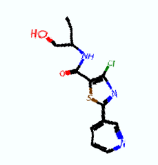 CCC(CO)NC(=O)c1sc(-c2cccnc2)nc1Cl